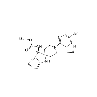 Cc1nc(N2CCC3(CC2)Nc2ccccc2[C@H]3NC(=O)OC(C)(C)C)c2ccnn2c1Br